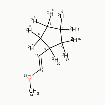 [2H]C1([2H])C([2H])([2H])C([2H])([2H])C([2H])(/C=C/OC)C1([2H])[2H]